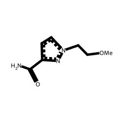 COCCn1ccc(C(N)=O)n1